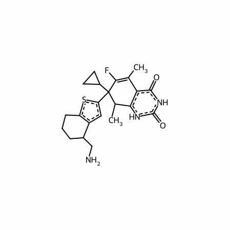 CC1=C(F)C(c2cc3c(s2)CCCC3CN)(C2CC2)C(C)c2[nH]c(=O)[nH]c(=O)c21